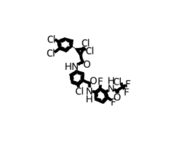 O=C(Nc1ccc(F)c(NC(=O)C(F)(F)Cl)c1F)c1cc(NC(=O)C2[C@H](c3ccc(Cl)c(Cl)c3)C2(Cl)Cl)ccc1Cl